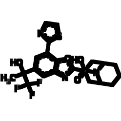 CC(O)(c1cc(-c2nccs2)c2oc(N3CC4CCCC(C3)N4C(=O)O)nc2c1)C(F)(F)F